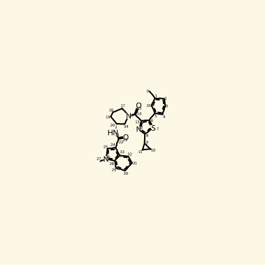 Cc1cccc(-c2sc(C3CC3)nc2C(=O)N2CCC[C@@H](NC(=O)c3cn(C)c4ccccc34)C2)c1